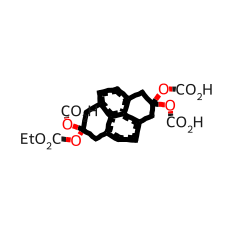 CCOC(=O)OC1(OC(=O)O)Cc2ccc3c4c(ccc(c24)C1)CC(OC(=O)O)(OC(=O)O)C3